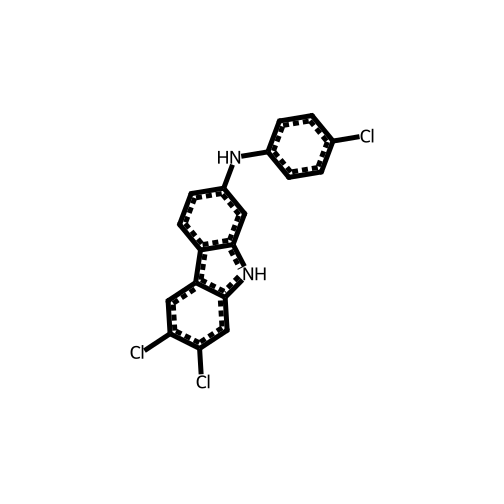 Clc1ccc(Nc2ccc3c(c2)[nH]c2cc(Cl)c(Cl)cc23)cc1